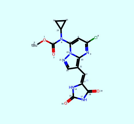 CC(C)(C)OC(=O)N(c1cc(Cl)nc2c(/C=C3\NC(=O)NC3=O)cnn12)C1CC1